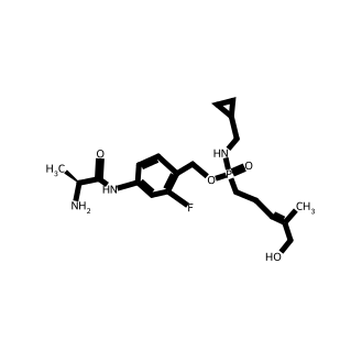 C/C(=C\CCP(=O)(NCC1CC1)OCc1ccc(NC(=O)[C@H](C)N)cc1F)CO